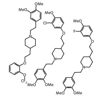 COc1ccc(CCN2CCC(CCOc3ccccc3OC(F)(F)F)CC2)cc1OC.COc1ccc(OCCC2CCN(CCc3ccc(OC)c(OC)c3)CC2)cc1Cl.COc1ccc(OCCC2CCN(CCc3ccc(OC)c(OC)c3)CC2)cc1F